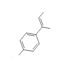 CC(=C[N+](=O)[O-])c1ccc(C)cc1